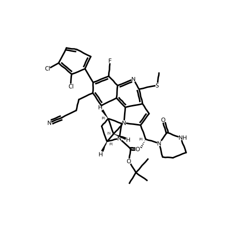 CSc1nc2c(F)c(-c3cccc(Cl)c3Cl)c(CCC#N)cc2c2c1cc([C@@H](C)N1CCCNC1=O)n2[C@H]1[C@@H]2C[C@H]1N(C(=O)OC(C)(C)C)C2